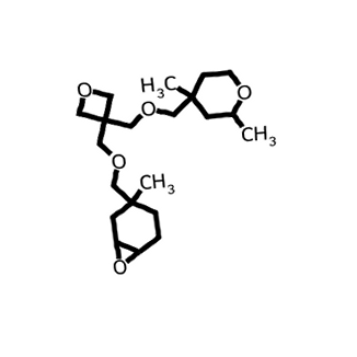 CC1CC(C)(COCC2(COCC3(C)CCC4OC4C3)COC2)CCO1